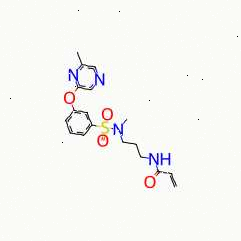 C=CC(=O)NCCCN(C)S(=O)(=O)c1cccc(Oc2cncc(C)n2)c1